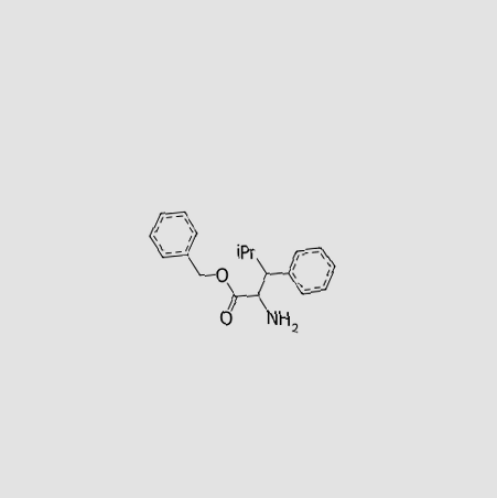 CC(C)C(c1ccccc1)C(N)C(=O)OCc1ccccc1